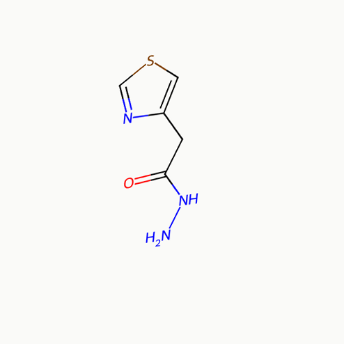 NNC(=O)Cc1cscn1